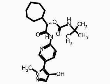 Cn1ncc(O)c1-c1ccc(NC(=O)[C@@H](OC(=O)NC(C)(C)C)C2CCCCCC2)nc1